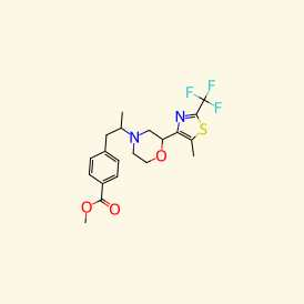 COC(=O)c1ccc(CC(C)N2CCOC(c3nc(C(F)(F)F)sc3C)C2)cc1